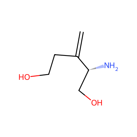 C=C(CCO)[C@H](N)CO